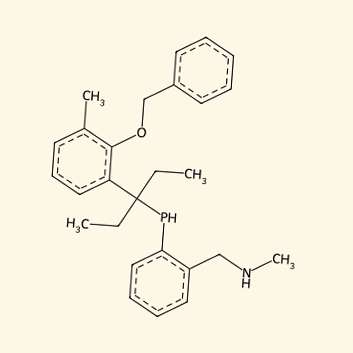 CCC(CC)(Pc1ccccc1CNC)c1cccc(C)c1OCc1ccccc1